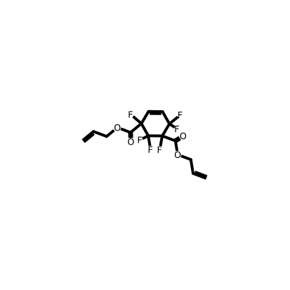 C=CCOC(=O)C1(F)C=CC(F)(F)C(F)(C(=O)OCC=C)C1(F)F